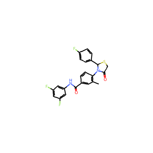 Cc1cc(C(=O)Nc2cc(F)cc(F)c2)ccc1N1C(=O)CSC1c1ccc(F)cc1